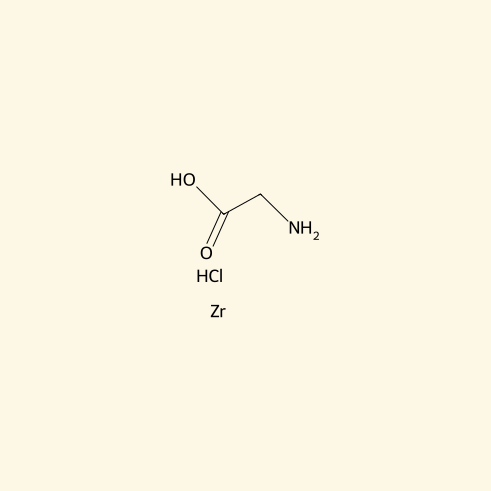 Cl.NCC(=O)O.[Zr]